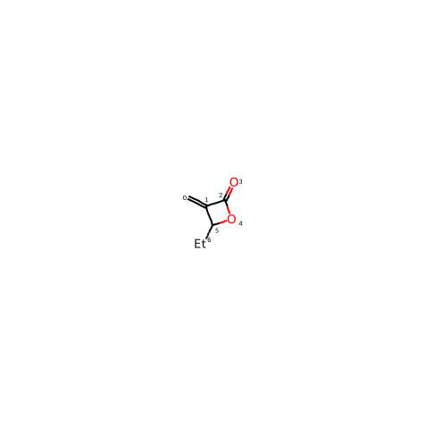 C=C1C(=O)OC1CC